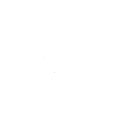 CC1CCOC(C2CC23CCOCC3)C1F